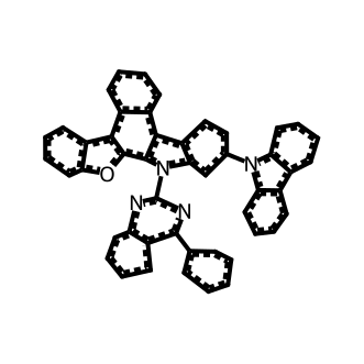 c1ccc(-c2nc(-n3c4cc(-n5c6ccccc6c6ccccc65)ccc4c4c5ccccc5c5c6ccccc6oc5c43)nc3ccccc23)cc1